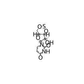 C[C@@]1(O)[C@@H]2OSOC[C@H]2O[C@H]1n1ccc(=O)[nH]c1=O